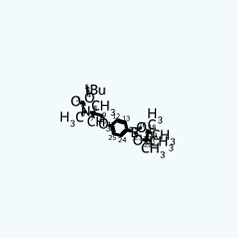 CN(C(=O)OC(C)(C)C)C(C)(C)COc1ccc(B2OC(C)(C)C(C)(C)O2)cc1